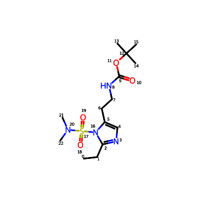 CCc1ncc(CCNC(=O)OC(C)(C)C)n1S(=O)(=O)N(C)C